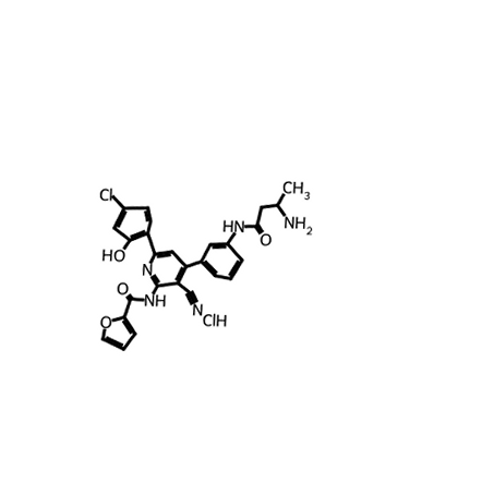 CC(N)CC(=O)Nc1cccc(-c2cc(-c3ccc(Cl)cc3O)nc(NC(=O)c3ccco3)c2C#N)c1.Cl